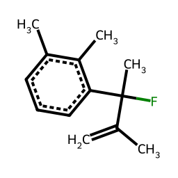 C=C(C)C(C)(F)c1cccc(C)c1C